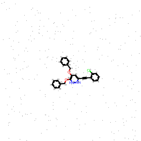 Clc1ccccc1C#CC1=CC(OCc2ccccc2)=C(OCc2ccccc2)NN1